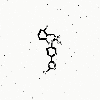 CS(=O)(Cc1c(F)cccc1F)=Nc1ccc(-c2noc(C(F)(F)F)n2)nc1